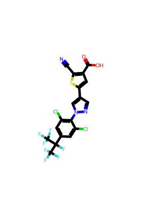 N#Cc1sc(-c2cnn(-c3c(Cl)cc(C(F)(C(F)(F)F)C(F)(F)F)cc3Cl)c2)cc1C(=O)O